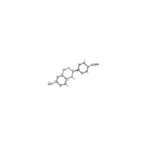 COc1ccc([C@@H]2COc3cc(O)cnc3O2)cn1